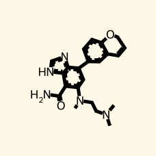 CN(C)CCN(C)c1cc(-c2ccc3c(c2)C=CCO3)c2nc[nH]c2c1C(N)=O